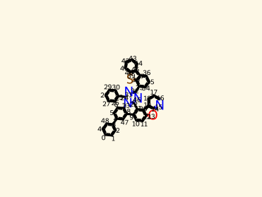 c1ccc(-c2cccc(-c3ccc4oc5ncccc5c4c3-c3nc(-c4ccccc4)nc(-c4cccc5c4sc4ccccc45)n3)c2)cc1